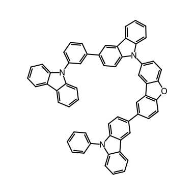 c1ccc(-n2c3ccccc3c3cc(-c4ccc5oc6ccc(-n7c8ccccc8c8cc(-c9cccc(-n%10c%11ccccc%11c%11ccccc%11%10)c9)ccc87)cc6c5c4)ccc32)cc1